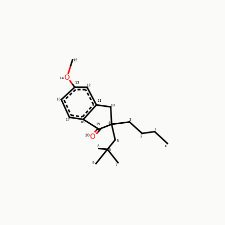 CCCCC1(CC(C)(C)C)Cc2cc(OC)ccc2C1=O